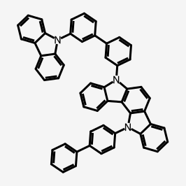 c1ccc(-c2ccc(-n3c4ccccc4c4ccc5c(c6ccccc6n5-c5cccc(-c6cccc(-n7c8ccccc8c8ccccc87)c6)c5)c43)cc2)cc1